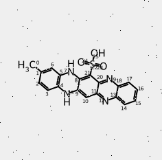 Cc1ccc2c(c1)Nc1c(cc3nc4ccccc4nc3c1S(=O)(=O)O)N2